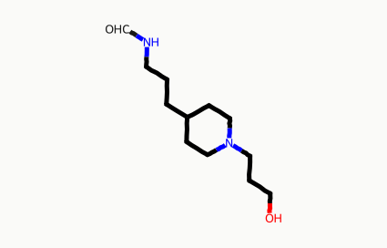 O=CNCCCC1CCN(CCCO)CC1